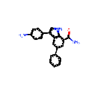 NC(=O)c1cc(-c2ccccc2)cc2c(-c3ccc(N)cc3)c[nH]c12